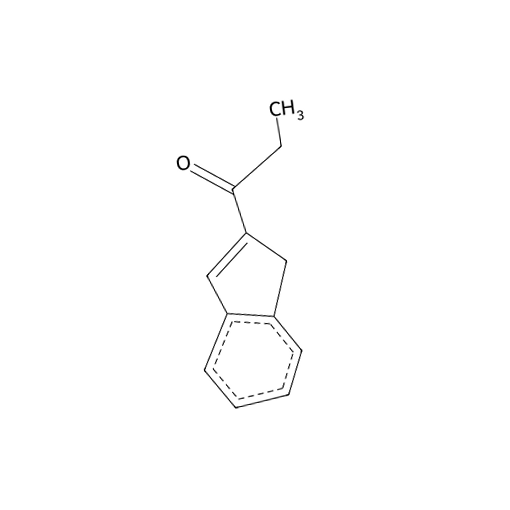 CCC(=O)C1=Cc2ccccc2C1